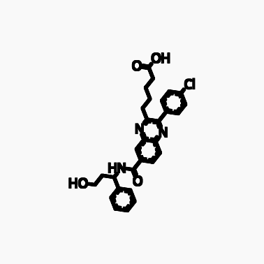 O=C(O)CCCCc1nc2cc(C(=O)NC(CCO)c3ccccc3)ccc2nc1-c1ccc(Cl)cc1